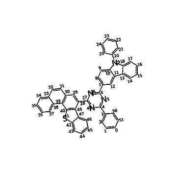 c1ccc(-c2nc(-c3ccc4c(c3)c3ccccc3n4-c3ccccc3)nc(-c3cc4ccc5ccccc5c4c4sc5ccccc5c34)n2)cc1